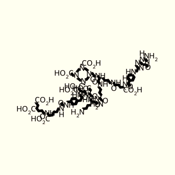 NCCCC[C@H](NC(=O)[C@H](CC(=O)O)NC(=O)C(CC(=O)O)NC(=O)Cc1ccc(CNC(=O)NCCCC[C@H](NC(=O)CC[C@@H](CCC(=O)O)C(=O)O)C(=O)O)cc1)C(=O)N[C@@H](CCCCNC(=O)[C@H](CCCCNC(=O)CC[C@H](NC(=O)c1ccc(NCc2cnc3[nH]c(N)nc(=O)c3n2)cc1)C(=O)O)NC(=O)CN1CCN(CC(=O)O)CCN(CC(=O)O)CCN(CC(=O)O)CC1)C(N)=O